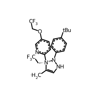 [CH2]C1=CNN(c2ccc(C(C)(C)C)cc2)[N@+]1(CC(F)(F)F)c1ccc(OCC(F)(F)F)cn1